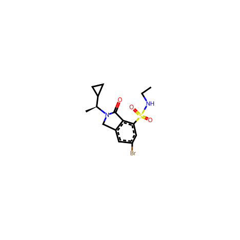 CCNS(=O)(=O)c1cc(Br)cc2c1C(=O)N([C@@H](C)C1CC1)C2